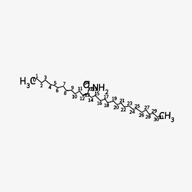 CCCCCCCCCCCCC=C(CCCCCCCCCCCCCCCCCC)C(N)=O